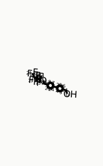 OCc1ccc(-c2ccc(COC(F)(F)C(F)(F)C(F)C(F)F)cc2)cc1